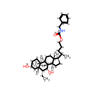 CC[C@H]1[C@@H](O)[C@@H]2[C@H](CC[C@]3(C)[C@@H]([C@H](C)CCCOC(=O)NCc4ccccc4)CC[C@@H]23)[C@@]2(C)CC[C@@H](O)C[C@@H]12